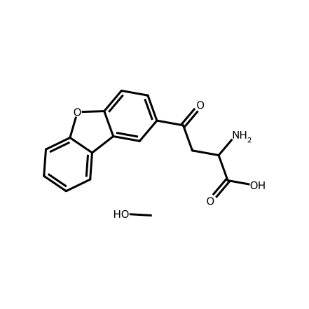 CO.NC(CC(=O)c1ccc2oc3ccccc3c2c1)C(=O)O